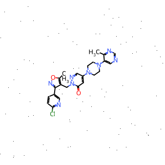 Cc1ncncc1N1CCN(c2cnn(Cc3c(-c4ccc(Cl)nc4)noc3C)c(=O)c2)CC1